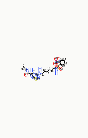 O=C(NC1CC1)c1cn2c(NCCCCCCNS(=O)(=O)c3ccccc3[N+](=O)[O-])nsc2n1